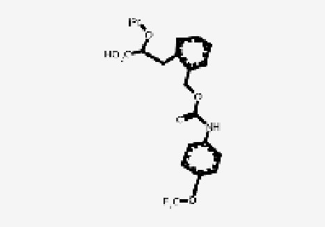 CC(C)OC(Cc1ccccc1COC(=O)Nc1ccc(OC(F)(F)F)cc1)C(=O)O